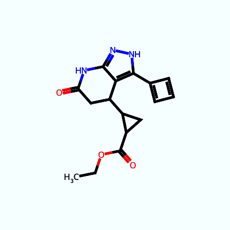 CCOC(=O)C1CC1C1CC(=O)Nc2n[nH]c(C3=CC=C3)c21